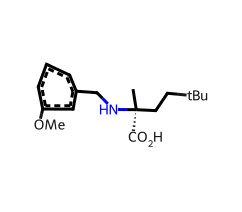 COc1cccc(CN[C@@](C)(CCC(C)(C)C)C(=O)O)c1